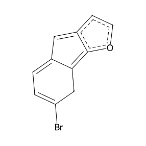 BrC1=CC=C2C=c3ccoc3=C2C1